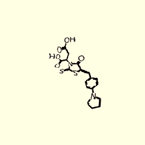 O=C(O)CC(C(=O)O)N1C(=O)/C(=C/c2ccc(N3CCCC3)cc2)SC1=S